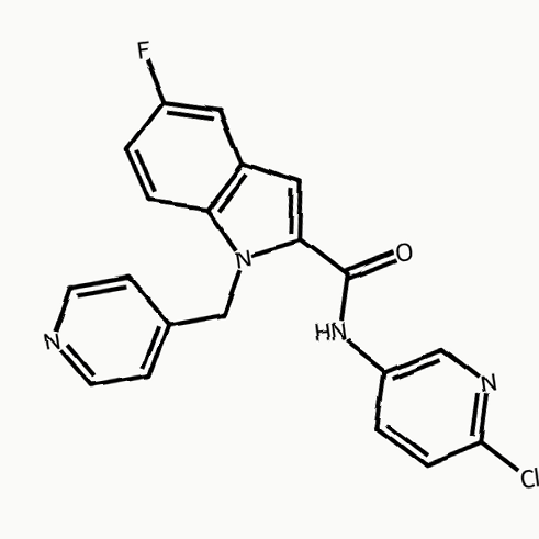 O=C(Nc1ccc(Cl)nc1)c1cc2cc(F)ccc2n1Cc1ccncc1